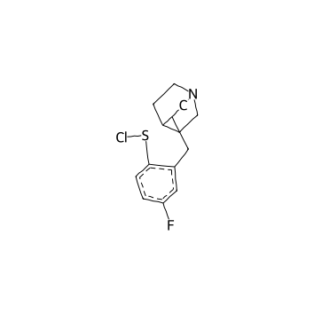 Fc1ccc(SCl)c(CC2CN3CCC2CC3)c1